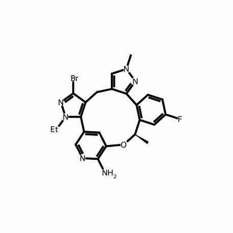 CCn1nc(Br)c2c1-c1cnc(N)c(c1)O[C@H](C)c1cc(F)ccc1-c1nn(C)cc1C2